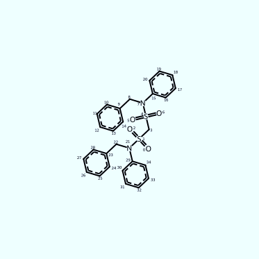 O=S(=O)(CS(=O)(=O)N(Cc1ccccc1)c1ccccc1)N(Cc1ccccc1)c1ccccc1